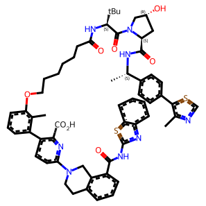 Cc1ncsc1-c1ccc([C@H](C)NC(=O)[C@@H]2C[C@@H](O)CN2C(=O)[C@@H](NC(=O)CCCCCCOc2cccc(-c3ccc(N4CCc5cccc(C(=O)Nc6nc7ccccc7s6)c5C4)nc3C(=O)O)c2C)C(C)(C)C)cc1